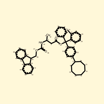 CC(CC(=O)OC(c1ccccc1)(c1ccc(C2CCCCCCC2)cc1)c1ccccc1Cl)NC(=O)OCC1c2ccccc2-c2ccccc21